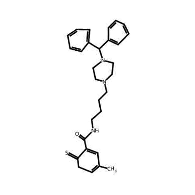 CC1=CCC(=S)C(C(=O)NCCCCN2CCN(C(c3ccccc3)c3ccccc3)CC2)=C1